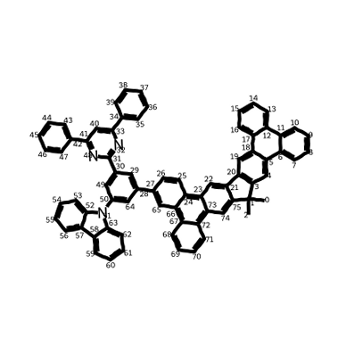 CC1(C)c2cc3c4ccccc4c4ccccc4c3cc2-c2cc3c4ccc(-c5cc(-c6nc(-c7ccccc7)cc(-c7ccccc7)n6)cc(-n6c7ccccc7c7ccccc76)c5)cc4c4ccccc4c3cc21